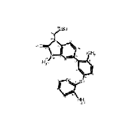 Cc1ccc(Oc2ncccc2N)cc1-c1ccc2c(c1)n(C)c(=O)n2CC(C)(C)C